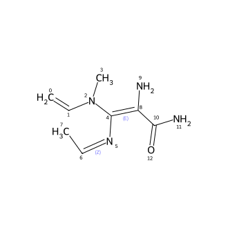 C=CN(C)C(/N=C\C)=C(\N)C(N)=O